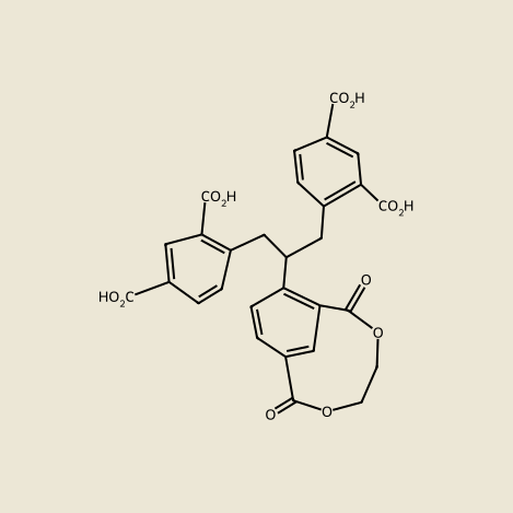 O=C(O)c1ccc(CC(Cc2ccc(C(=O)O)cc2C(=O)O)c2ccc3cc2C(=O)OCCOC3=O)c(C(=O)O)c1